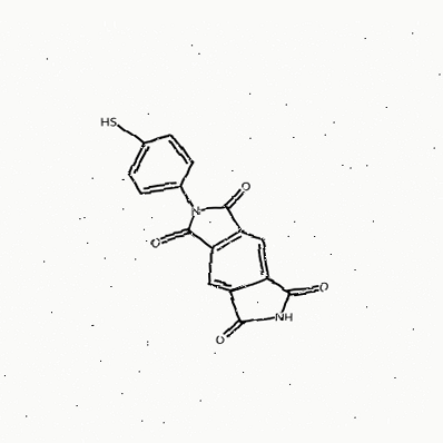 O=c1[nH]c(=O)c2cc3c(=O)n(-c4ccc(S)cc4)c(=O)c3cc12